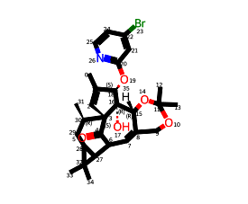 CC1=C[C@]23C(=O)C(C=C4COC(C)(C)O[C@H]4[C@]2(O)[C@H]1Oc1cc(Br)ccn1)C1C(C[C@H]3C)C1(C)C